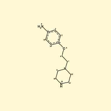 Nc1ccc(OCCC2CCNCC2)cc1